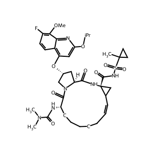 COc1c(F)ccc2c(O[C@@H]3C[C@H]4C(=O)N[C@]5(C(=O)NS(=O)(=O)C6(C)CC6)CC5/C=C\CCCCC[C@H](NC(=O)N(C)C)C(=O)N4C3)cc(OC(C)C)nc12